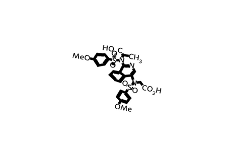 COc1ccc(S(=O)(=O)N(CC(=O)O)c2cnc(N(C(C)C(=O)O)S(=O)(=O)c3ccc(OC)cc3)c3ccccc23)cc1